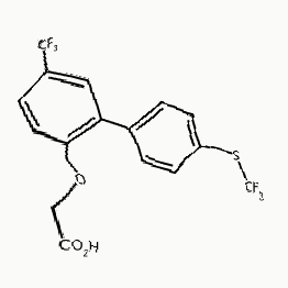 O=C(O)COc1ccc(C(F)(F)F)cc1-c1ccc(SC(F)(F)F)cc1